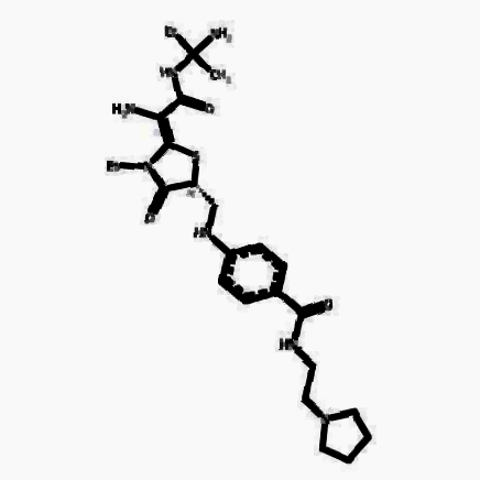 CCN1C(=O)[C@@H](CNc2ccc(C(=O)NCCN3CCCC3)cc2)S/C1=C(/N)C(=O)NC(C)(N)CC